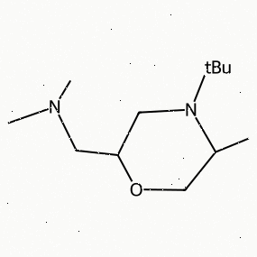 CC1COC(CN(C)C)CN1C(C)(C)C